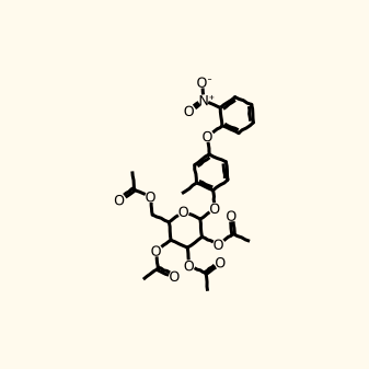 CC(=O)OCC1OC(Oc2ccc(Oc3ccccc3[N+](=O)[O-])cc2C)C(OC(C)=O)C(OC(C)=O)C1OC(C)=O